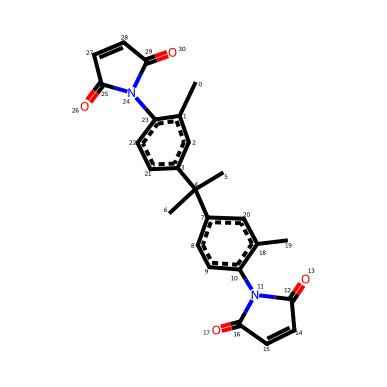 Cc1cc(C(C)(C)c2ccc(N3C(=O)C=CC3=O)c(C)c2)ccc1N1C(=O)C=CC1=O